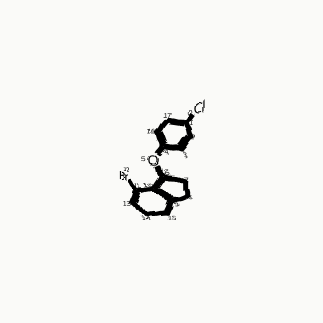 Clc1ccc(OC2CCC3=C2C(Br)=CCC3)cc1